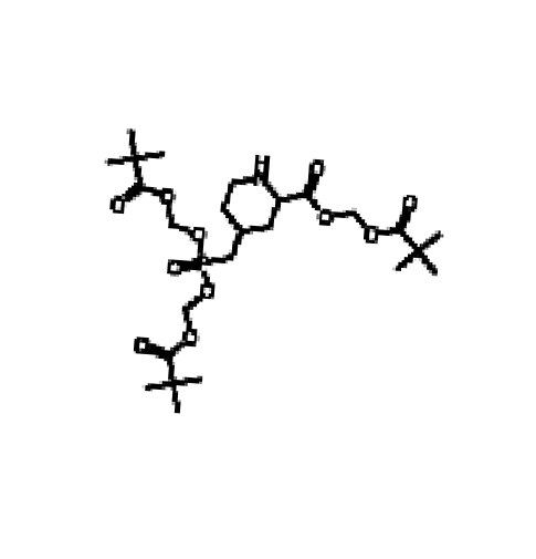 CC(C)(C)C(=O)OCOC(=O)C1CC(CP(=O)(OCOC(=O)C(C)(C)C)OCOC(=O)C(C)(C)C)CCN1